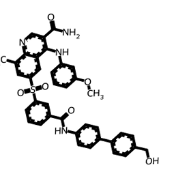 COc1cccc(Nc2c(C(N)=O)cnc3c(C)cc(S(=O)(=O)c4cccc(C(=O)Nc5ccc(-c6ccc(CO)cc6)cc5)c4)cc23)c1